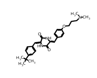 CN(C)CCCOc1ccc(C=c2[nH]c(=O)c(=Cc3ccc(C(C)(C)C)cc3)[nH]c2=O)cc1